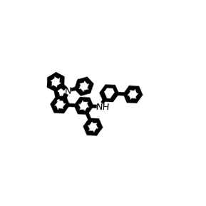 C1=C(Nc2ccc(-c3cccc4c5ccccc5n(-c5ccccc5)c34)cc2-c2ccccc2)C=C(c2ccccc2)CC1